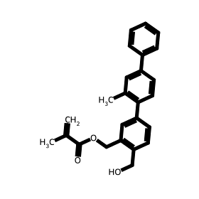 C=C(C)C(=O)OCc1cc(-c2ccc(-c3ccccc3)cc2C)ccc1CO